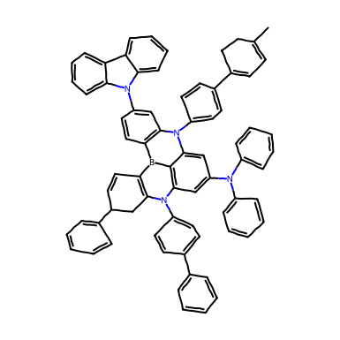 CC1=CC=C(c2ccc(N3c4cc(-n5c6ccccc6c6ccccc65)ccc4B4C5=C(CC(c6ccccc6)C=C5)N(c5ccc(-c6ccccc6)cc5)c5cc(N(c6ccccc6)c6ccccc6)cc3c54)cc2)CC1